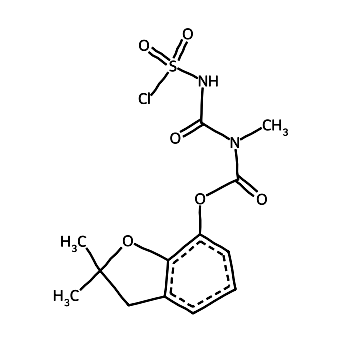 CN(C(=O)NS(=O)(=O)Cl)C(=O)Oc1cccc2c1OC(C)(C)C2